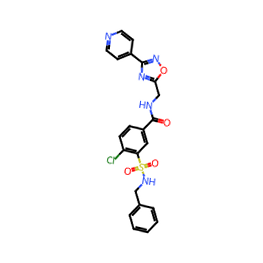 O=C(NCc1nc(-c2ccncc2)no1)c1ccc(Cl)c(S(=O)(=O)NCc2ccccc2)c1